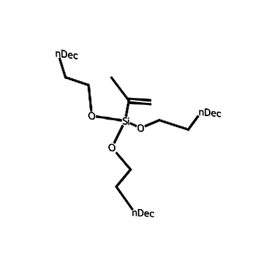 C=C(C)[Si](OCCCCCCCCCCCC)(OCCCCCCCCCCCC)OCCCCCCCCCCCC